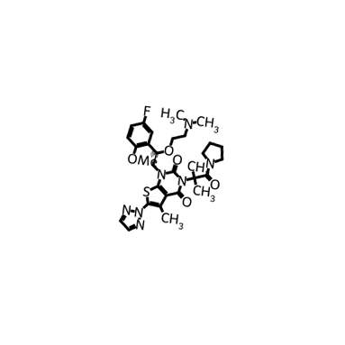 COc1ccc(F)cc1[C@H](Cn1c(=O)n(C(C)(C)C(=O)N2CCCC2)c(=O)c2c(C)c(-n3nccn3)sc21)OCCN(C)C